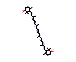 CC1=C(/C=C/C(C)=C/C=C/C(C)=C/C=C/C=C(C)/C=C/C=C(C)/C=C/C2=C(C)C=CC(=O)C2(C)C)C(C)(C)C(=O)C=C1